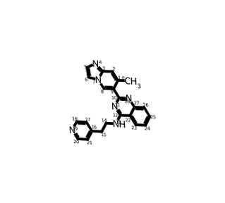 Cc1cc2nccn2cc1-c1nc(NCCc2ccncc2)c2ccccc2n1